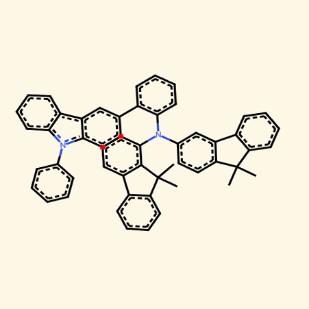 CC1(C)c2ccccc2-c2cc(N(c3ccccc3-c3ccc4c(c3)c3ccccc3n4-c3ccccc3)c3cccc4c3C(C)(C)c3ccccc3-4)ccc21